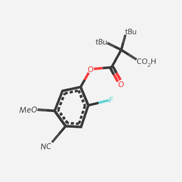 COc1cc(OC(=O)C(C(=O)O)(C(C)(C)C)C(C)(C)C)c(F)cc1C#N